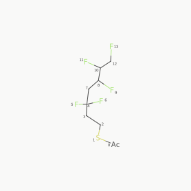 CC(=O)SCCC(F)(F)CC(F)C(F)CF